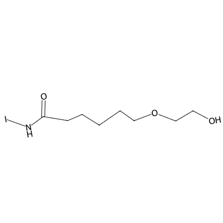 O=C(CCCCCOCCO)NI